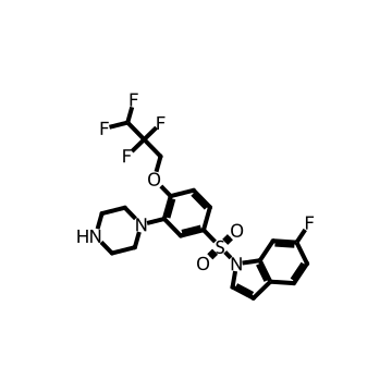 O=S(=O)(c1ccc(OCC(F)(F)C(F)F)c(N2CCNCC2)c1)n1ccc2ccc(F)cc21